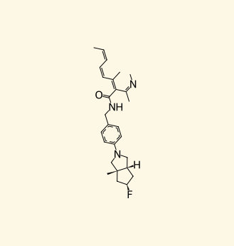 C\C=C/C=C\C(C)=C(C(=O)NCc1ccc(N2C[C@@H]3C[C@@H](F)C[C@]3(C)C2)cc1)\C(C)=N/C